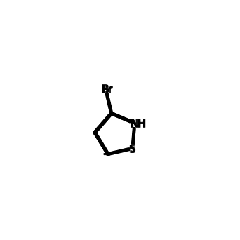 BrC1C[CH]SN1